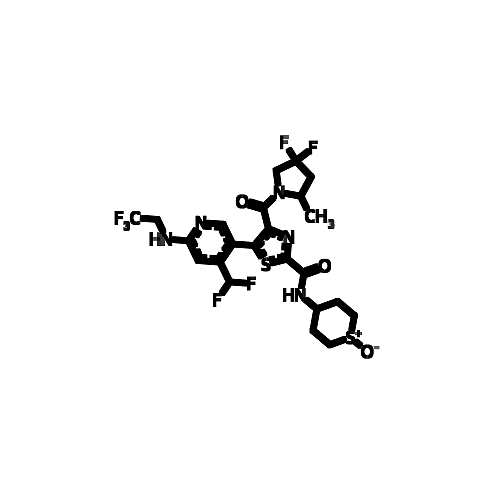 CC1CC(F)(F)CN1C(=O)c1nc(C(=O)NC2CC[S+]([O-])CC2)sc1-c1cnc(NCC(F)(F)F)cc1C(F)F